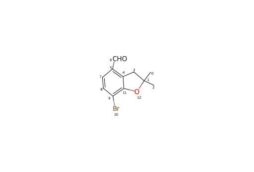 CC1(C)Cc2c(C=O)ccc(Br)c2O1